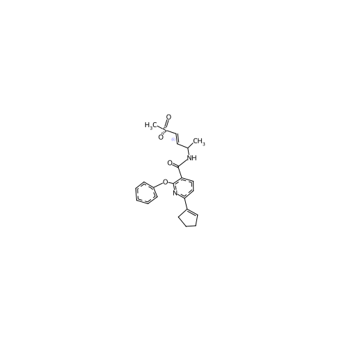 CC(/C=C/S(C)(=O)=O)NC(=O)c1ccc(C2=CCCC2)nc1Oc1ccccc1